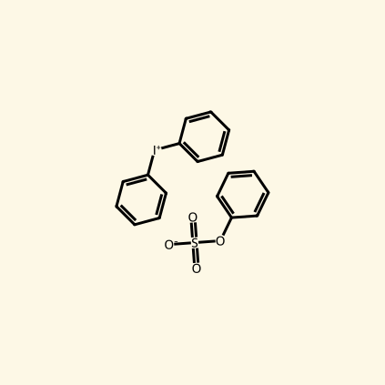 O=S(=O)([O-])Oc1ccccc1.c1ccc([I+]c2ccccc2)cc1